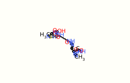 Cc1ncsc1-c1ccc(CNC(=O)[C@@H]2C[C@H](O)CN2C(=O)[C@@H](NC(=O)CCCCCCCCCC(=O)NCCN2CCN(Cc3cccc(-c4ccc(N5CCN(C)CC5)c(NC(=O)c5c[nH]c(=O)cc5C(F)(F)F)c4)c3)CC2)C(C)(C)C)cc1